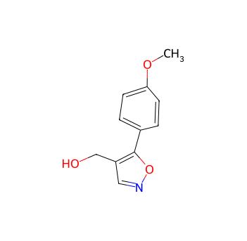 COc1ccc(-c2oncc2CO)cc1